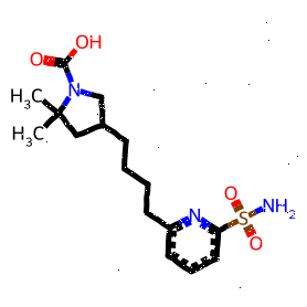 CC1(C)CC(CCCCc2cccc(S(N)(=O)=O)n2)CN1C(=O)O